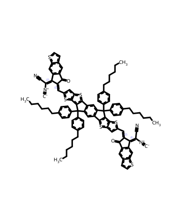 [C-]#[N+]/C(C#N)=C1\C(=C\c2cc3sc4c(c3s2)C(c2ccc(CCCCCC)cc2)(c2ccc(CCCCCC)cc2)c2cc3c(cc2-4)C(c2ccc(CCCCCC)cc2)(c2ccc(CCCCCC)cc2)c2c-3sc3cc(/C=C4\C(=O)c5cc6ccsc6cc5\C4=C(\C#N)[N+]#[C-])sc23)C(=O)c2cc3ccsc3cc21